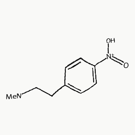 CNCCc1ccc([N+](=O)O)cc1